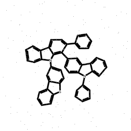 c1ccc(-c2ccc3c4ccccc4n(-c4ccc5sc6ccccc6c5c4)c3c2-c2ccc3c(c2)c2ccccc2n3-c2ccccc2)cc1